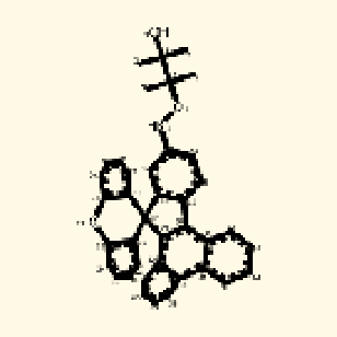 CC(C)(O)C(C)(C)OBc1ccc2c(c1)C1(c3ccccc3Oc3ccccc31)c1c-2c2ccccc2c2ccccc12